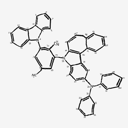 N#Cc1cc(-n2c3ccccc3c3ccccc32)c(C#N)c(-n2c3ccc(N(c4ccccc4)c4ccccc4)cc3c3c4ccccc4ccc32)c1